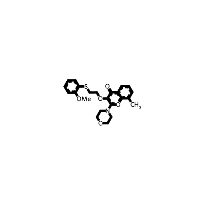 COc1ccccc1SCCOc1c(N2CCOCC2)oc2c(C)cccc2c1=O